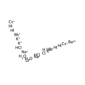 Br.Cl.Cl.Cl.I.I.I.I.O.O.[Ba+2].[Cs+].[Cs+].[K+].[K+].[K+].[Li+].[Na+].[Na+].[Rb+]